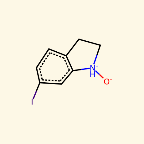 [O-][NH+]1CCc2ccc(I)cc21